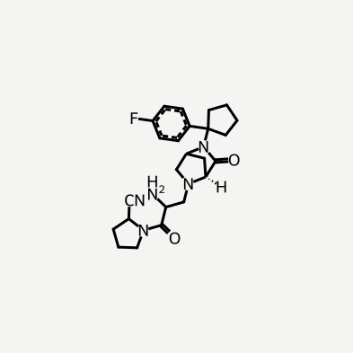 N#CC1CCCN1C(=O)C(N)CN1CC2C[C@H]1C(=O)N2C1(c2ccc(F)cc2)CCCC1